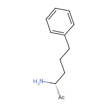 CC(=O)[C@H](N)CCCc1ccccc1